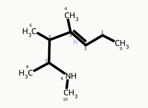 CC/C=C(\C)C(C)C(C)NC